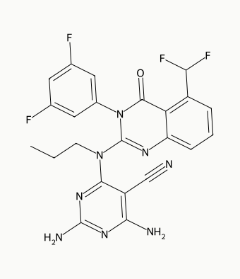 CCCN(c1nc(N)nc(N)c1C#N)c1nc2cccc(C(F)F)c2c(=O)n1-c1cc(F)cc(F)c1